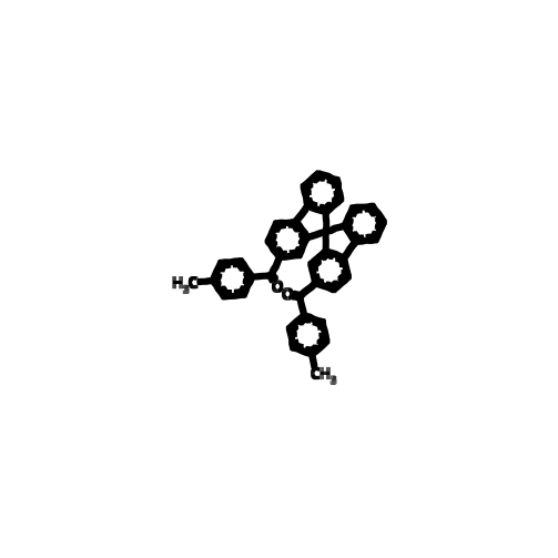 Cc1ccc(C(=O)c2ccc3c(c2)C2(c4ccccc4-3)c3ccccc3-c3ccc(C(=O)c4ccc(C)cc4)cc32)cc1